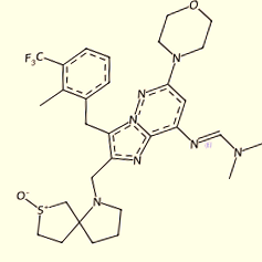 Cc1c(Cc2c(CN3CCCC34CC[S+]([O-])C4)nc3c(/N=C/N(C)C)cc(N4CCOCC4)nn23)cccc1C(F)(F)F